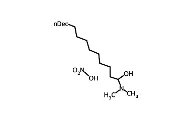 CCCCCCCCCCCCCCCCCCC(O)N(C)C.O=[N+]([O-])O